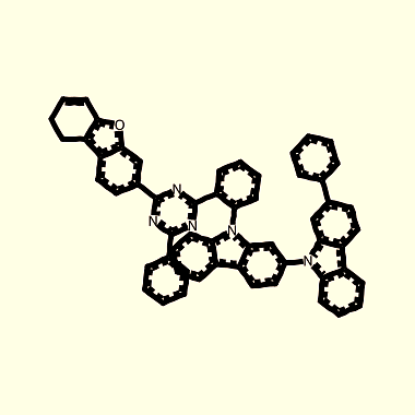 C1=Cc2oc3cc(-c4nc(-c5ccccc5)nc(-c5ccccc5-n5c6ccccc6c6ccc(-n7c8ccccc8c8ccc(-c9ccccc9)cc87)cc65)n4)ccc3c2CC1